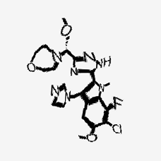 COC[C@H](c1n[nH]c(-c2c(-n3ccnc3)c3cc(OC)c(Cl)c(F)c3n2C)n1)N1CCOCC1